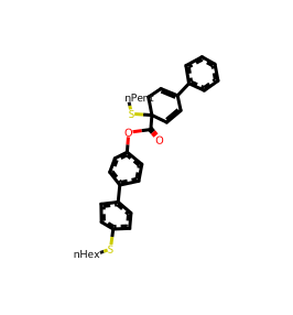 CCCCCCSc1ccc(-c2ccc(OC(=O)C3(SCCCCC)C=CC(c4ccccc4)=CC3)cc2)cc1